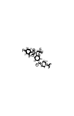 CC(C)N1CCN(C(=O)[C@H]2CC[C@H](N(CC(F)(F)F)S(=O)(=O)c3ccc(F)cc3F)CC2)CC1